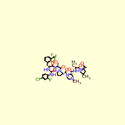 C[C@H]1CN(C(=O)[C@H](C)NC(=O)[C@@H]2CN(C)CCN2C(=O)[C@@H]2CCCN2C(=O)[C@H](CO)NC(=O)[C@H](Cc2cccc(C(F)(F)F)c2)NC(=O)Nc2ccc(Cl)cc2F)[C@]2(CC2=O)C1